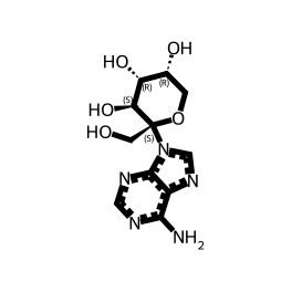 Nc1ncnc2c1ncn2[C@@]1(CO)OC[C@@H](O)[C@@H](O)[C@@H]1O